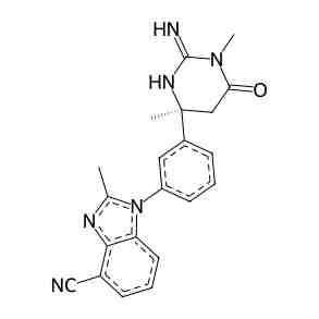 Cc1nc2c(C#N)cccc2n1-c1cccc([C@]2(C)CC(=O)N(C)C(=N)N2)c1